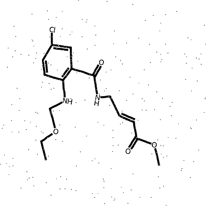 CCOCNc1ccc(Cl)cc1C(=O)NC/C=C/C(=O)OC